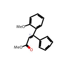 COC(=O)/C=C(\c1ccccc1)c1ccccc1OC